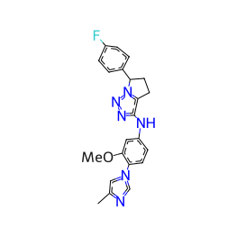 COc1cc(Nc2nnn3c2CCC3c2ccc(F)cc2)ccc1-n1cnc(C)c1